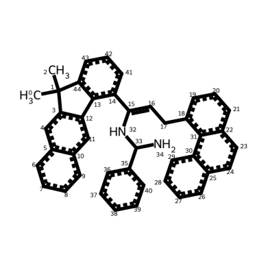 CC1(C)c2cc3ccccc3cc2-c2c(/C(=C/Cc3cccc4ccc5ccccc5c34)NC(N)c3ccccc3)cccc21